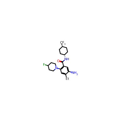 CCc1cc(N2CCC(F)CC2)c(C(=O)N[C@H]2CC[C@H](C(F)(F)F)CC2)cc1N